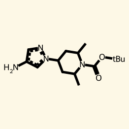 CC1CC(n2cc(N)cn2)CC(C)N1C(=O)OC(C)(C)C